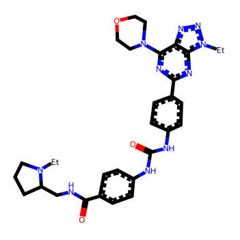 CCN1CCCC1CNC(=O)c1ccc(NC(=O)Nc2ccc(-c3nc(N4CCOCC4)c4nnn(CC)c4n3)cc2)cc1